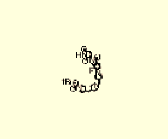 CC(C)(C)OC(=O)N1CCC(CC2CCN(CC3CCN(c4ccc5c(c4F)CN([C@H]4CCC(=O)NC4=O)C5=O)CC3)CC2)CC1